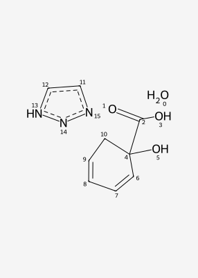 O.O=C(O)C1(O)C=CC=CC1.c1c[nH]nn1